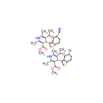 COC(=O)C1=C(C)NC(C)=C(C(C)=O)C1c1csc2ccc(Br)cc12.COC(=O)C1=C(C)NC(C)=C(C(C)=O)C1c1csc2ccc(C#N)cc12